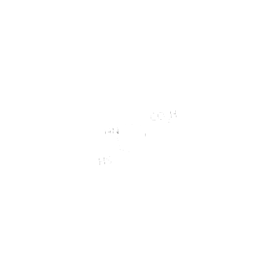 O=C(O)C1CCC(S)NC1